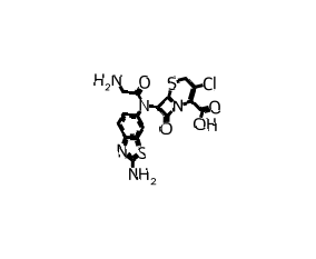 NCC(=O)N(c1ccc2nc(N)sc2c1)C1C(=O)N2C(C(=O)O)=C(Cl)CSC12